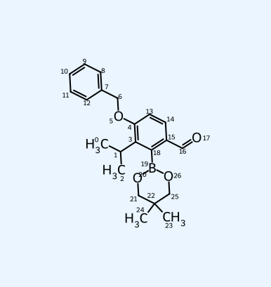 CC(C)c1c(OCc2ccccc2)ccc(C=O)c1B1OCC(C)(C)CO1